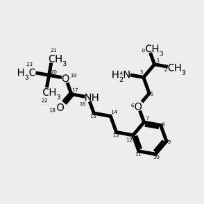 CC(C)C(N)COc1ccccc1CCCNC(=O)OC(C)(C)C